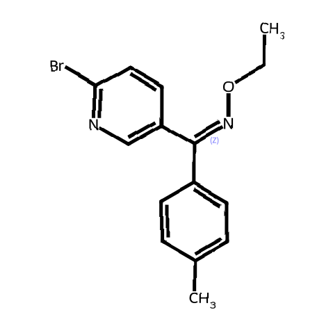 CCO/N=C(/c1ccc(C)cc1)c1ccc(Br)nc1